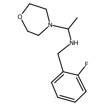 CC(NCc1c[c]ccc1F)N1CCOCC1